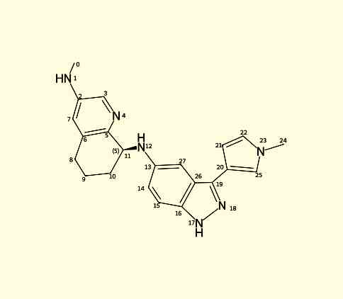 CNc1cnc2c(c1)CCC[C@@H]2Nc1ccc2[nH]nc(-c3ccn(C)c3)c2c1